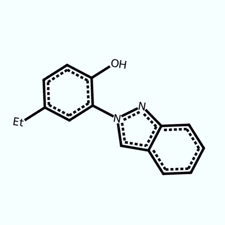 CCc1ccc(O)c(-n2cc3ccccc3n2)c1